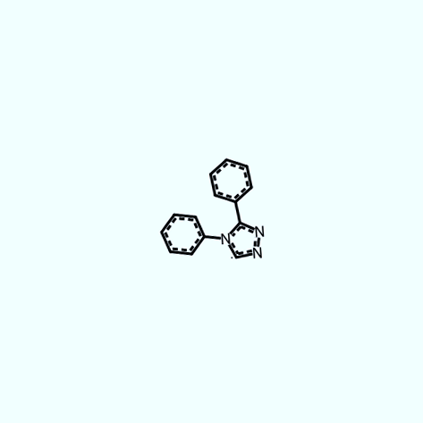 [c]1nnc(-c2ccccc2)n1-c1ccccc1